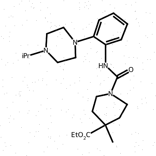 CCOC(=O)C1(C)CCN(C(=O)Nc2ccccc2N2CCN(C(C)C)CC2)CC1